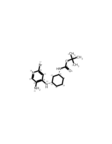 CC(C)(C)OC(=O)N[C@@H]1CCC[C@H](Nc2cc(Br)ncc2N)C1